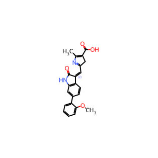 COc1ccccc1-c1ccc2c(c1)NC(=O)/C2=C\C1=NC(C)=C(C(=O)O)C1